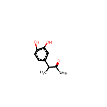 CNC(=O)C(C)c1ccc(O)c(O)c1